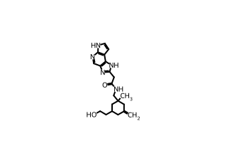 C=C1CC(CCO)CC(C)(CNC(=O)Cc2nc3cnc4[nH]ccc4c3[nH]2)C1